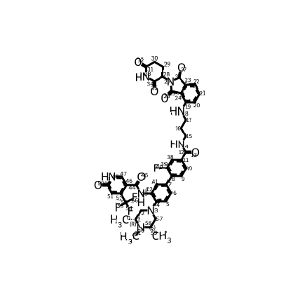 C[C@@H]1CN(c2ccc(-c3ccc(C(=O)NCCCNc4cccc5c4C(=O)N(C4CCC(=O)NC4=O)C5=O)cc3F)cc2NC(=O)c2c[nH]c(=O)cc2C(F)(F)F)C[C@H](C)N1C